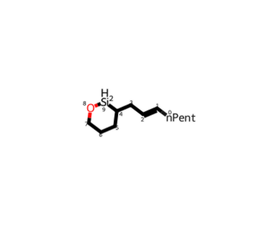 CCCCC/C=C/CC1CCCO[SiH2]1